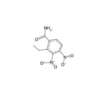 CCc1c(C(N)=O)ccc([N+](=O)[O-])c1[N+](=O)[O-]